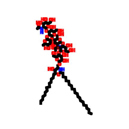 CCCCCCCCCCCCC/C=C/[C@@H](O)[C@H](CO[C@@H]1OC(CO)[C@@H](O[C@@H]2OC(CO)[C@H](O)[C@H](O[C@@H]3OC(CO)[C@@H](O[C@@H]4OC(CO)[C@H](O)[C@H](O[C@@H]5OC(CO)[C@H](O)[C@H](O)C5NC(C)=O)C4O[C@H]4OC(C)[C@@H](O)C(O)[C@@H]4O)[C@H](O)C3NC(C)=O)C2O)[C@H](O)C1O)NC(=O)CCCCCCCCCCCCCCCCCCCCC